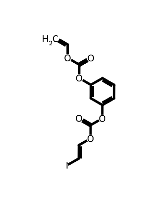 C=COC(=O)Oc1cccc(OC(=O)OC=CI)c1